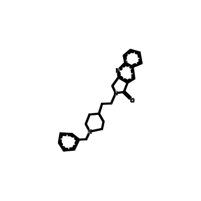 O=C1c2cc3ccccc3nc2CN1CCC1CCN(Cc2ccccc2)CC1